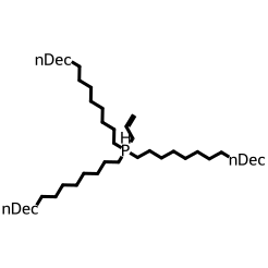 C=CC[PH](CCCCCCCCCCCCCCCCCC)(CCCCCCCCCCCCCCCCCC)CCCCCCCCCCCCCCCCCC